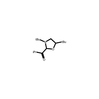 CC(C)C(=O)C1OC(C(C)(C)C)CN1C(C)(C)C